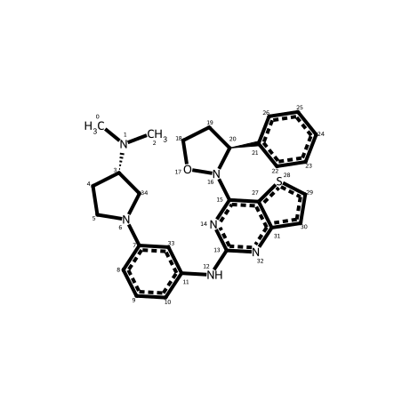 CN(C)[C@H]1CCN(c2cccc(Nc3nc(N4OCC[C@H]4c4ccccc4)c4sccc4n3)c2)C1